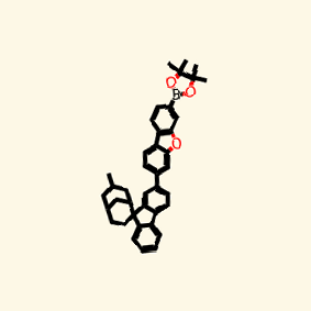 CC1CC2CCC3(c4ccccc4-c4ccc(-c5ccc6c(c5)oc5cc(B7OC(C)(C)C(C)(C)O7)ccc56)cc43)C(C1)C2